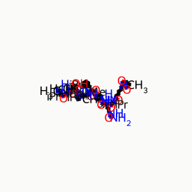 CC[C@H](C)[C@@H]([C@H](CO)CC(=O)N1CCC[C@H]1[C@H](OC)[C@@H](C)C(=O)N[C@@H](Cc1ccccc1)C(=O)Nc1ccc(NC(=O)[C@H](CCCNC(N)=O)NC(=O)[C@@H](NC(=O)CCCCCN2C(=O)CC(C)C2=O)C(C)C)cc1)N(C)C(=O)[C@@H](NC(=O)[C@H](C(C)C)N(C)C)C(C)C